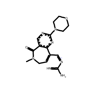 CN1CC=C(/C=N\C(=N)N)c2nc(N3CCOCC3)ncc2C1=O